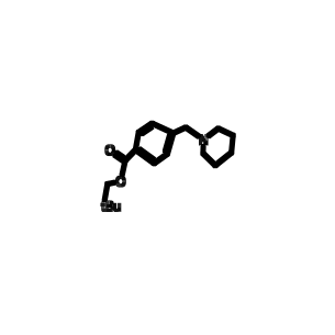 CC(C)(C)COC(=O)c1ccc(CN2CCCCC2)cc1